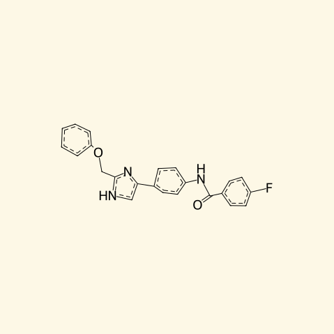 O=C(Nc1ccc(-c2c[nH]c(COc3ccccc3)n2)cc1)c1ccc(F)cc1